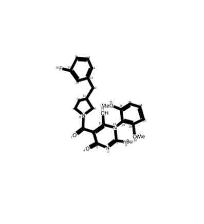 CCCCc1nc(=O)c(C(=O)N2CCC(Cc3cccc(F)c3)C2)c(O)n1-c1c(OC)cccc1OC